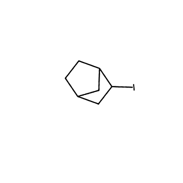 IC1CC2CCC1C2